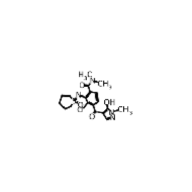 CN(C)C(=O)c1ccc(C(=O)c2cnn(C)c2O)c(Cl)c1N=S1(=O)CCCCC1